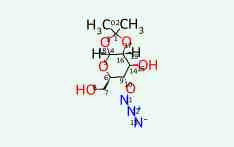 CC1(C)O[C@H]2O[C@H](CO)[C@@H](ON=[N+]=[N-])[C@H](O)[C@H]2O1